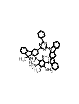 Bc1c(B)c(B)c(-n2c3ccccc3c3cc4c5ccccc5n(-c5nc(-c6ccccc6)nc(-c6ccc7c(c6)-c6ccccc6C7(C)C)n5)c4cc32)c(B)c1B